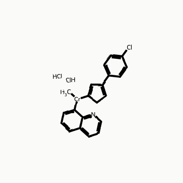 Cl.Cl.[CH3][Cr]([C]1=CC(c2ccc(Cl)cc2)=CC1)[c]1cccc2cccnc12